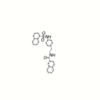 O=C(NCCc1ccc(NS(=O)(=O)c2cccc3ccccc23)cc1)c1ccc2ccccc2c1